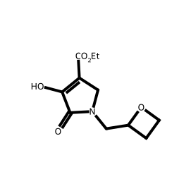 CCOC(=O)C1=C(O)C(=O)N(CC2CCO2)C1